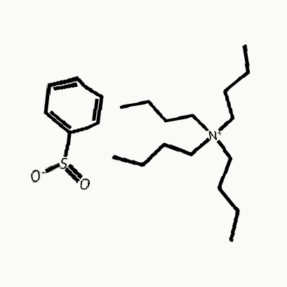 CCCC[N+](CCCC)(CCCC)CCCC.O=S([O-])c1ccccc1